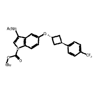 CC(=O)Nc1cn(C(=O)OC(C)(C)C)c2ccc(O[C@H]3C[C@H](c4ccc(C(F)(F)F)cc4)C3)cc12